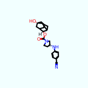 N#Cc1ccc(N[C@@H]2CCN(C(=O)O[C@H]3C4CC5CC3C[C@](O)(C5)C4)C2)cc1